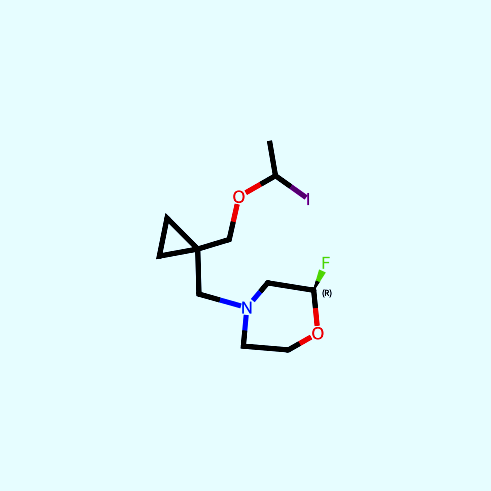 CC(I)OCC1(CN2CCO[C@H](F)C2)CC1